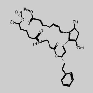 CCC(CCCC(=O)NCCC(=O)O[C@@H](CCc1ccccc1)CC[C@@H]1[C@@H](C/C=C\CCCC(=O)OC(C)C)[C@@H](O)C[C@H]1O)O[N+](=O)[O-]